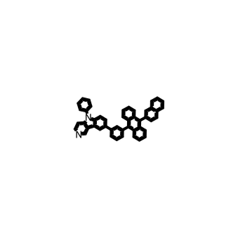 c1ccc(-n2c3ccncc3c3cc(-c4cccc(-c5c6ccccc6c(-c6ccc7ccccc7c6)c6ccccc56)c4)ccc32)cc1